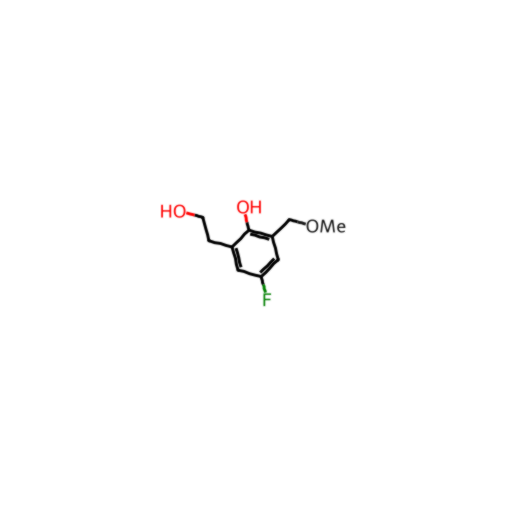 COCc1cc(F)cc(CCO)c1O